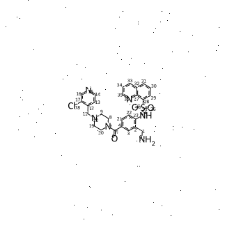 NCc1cc(C(=O)N2CCN(Cc3ccncc3Cl)CC2)ccc1NS(=O)(=O)c1cccc2cccnc12